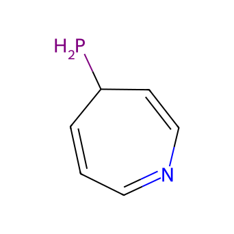 PC1C=CC=NC=C1